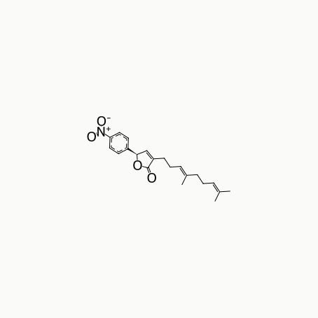 CC(C)=CCC/C(C)=C/CCC1=C[C@H](c2ccc([N+](=O)[O-])cc2)OC1=O